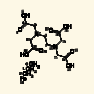 O.O.O.O=C(O)CN(CCN(CC(=O)O)CC(=O)O)CC(=O)O.[Fe]